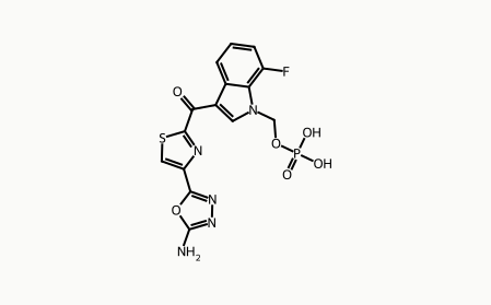 Nc1nnc(-c2csc(C(=O)c3cn(COP(=O)(O)O)c4c(F)cccc34)n2)o1